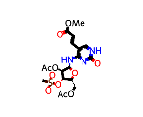 COC(=O)C=Cc1c[nH]c(=O)nc1N[C@@H]1O[C@H](COC(C)=O)[C@H](OS(C)(=O)=O)[C@H]1OC(C)=O